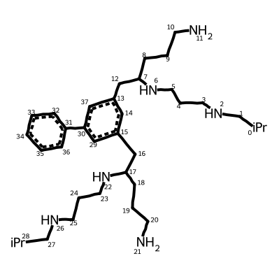 CC(C)CNCCCNC(CCCN)Cc1cc(CC(CCCN)NCCCNCC(C)C)cc(-c2ccccc2)c1